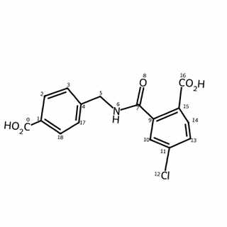 O=C(O)c1ccc(CNC(=O)c2cc(Cl)ccc2C(=O)O)cc1